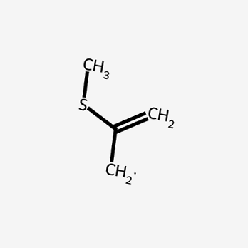 [CH2]C(=C)SC